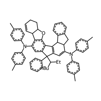 CCCCC(CC)C1(c2ccccc2)C2=C(c3c1cc(N(c1ccc(C)cc1)c1ccc(C)cc1)c1c3OC3CCC=CC13)C1c3ccccc3CC1C(N(c1ccc(C)cc1)c1ccc(C)cc1)=C2